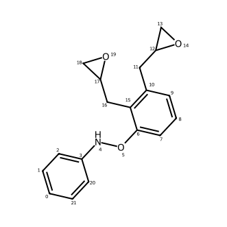 c1ccc(NOc2cccc(CC3CO3)c2CC2CO2)cc1